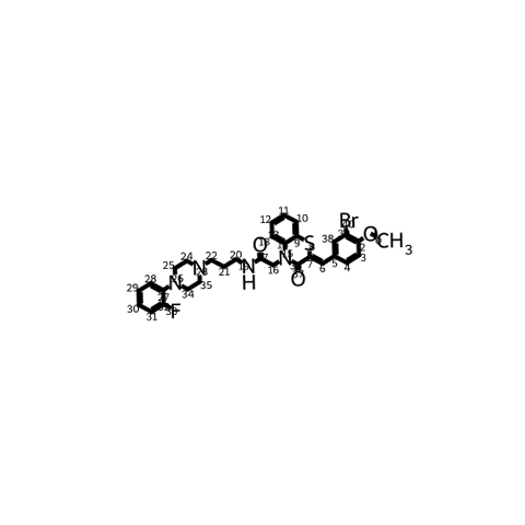 COc1ccc(C=C2Sc3ccccc3N(CC(=O)NCCCN3CCN(c4ccccc4F)CC3)C2=O)cc1Br